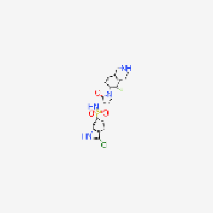 O=C1[C@@H](NS(=O)(=O)c2ccc3c(Cl)c[nH]c3c2)CCN1c1ccc2c(c1F)CCNC2